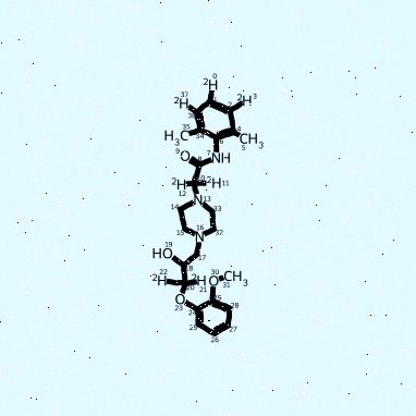 [2H]c1c([2H])c(C)c(NC(=O)C([2H])([2H])N2CCN(CC(O)C([2H])([2H])Oc3ccccc3OC)CC2)c(C)c1[2H]